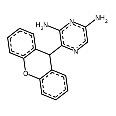 Nc1cnc(C2c3ccccc3Oc3ccccc32)c(N)n1